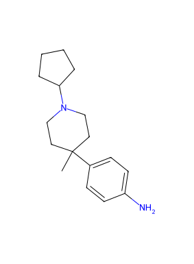 CC1(c2ccc(N)cc2)CCN(C2CCCC2)CC1